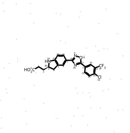 O=C(O)CC[C@@H]1Cc2cc(-c3noc(-c4ccc(Cl)c(C(F)(F)F)c4)n3)ccc2N1